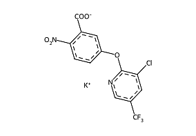 O=C([O-])c1cc(Oc2ncc(C(F)(F)F)cc2Cl)ccc1[N+](=O)[O-].[K+]